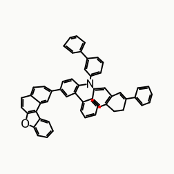 C1=C(c2ccccc2)CCc2ccc(N(c3cccc(-c4ccccc4)c3)c3ccc(-c4ccc5ccc6oc7ccccc7c6c5c4)cc3-c3ccccc3)cc21